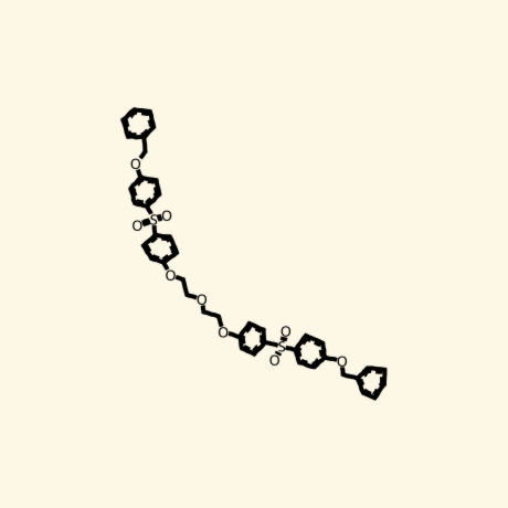 O=S(=O)(c1ccc(OCCOCCOc2ccc(S(=O)(=O)c3ccc(OCc4ccccc4)cc3)cc2)cc1)c1ccc(OCc2ccccc2)cc1